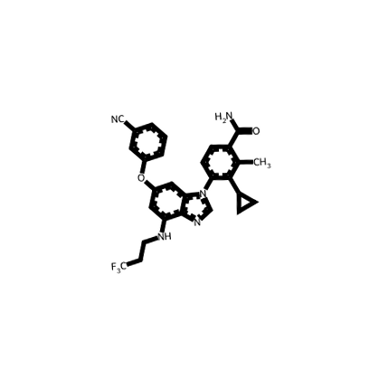 Cc1c(C(N)=O)ccc(-n2cnc3c(NCCC(F)(F)F)cc(Oc4cccc(C#N)c4)cc32)c1C1CC1